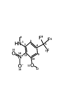 CNc1cc(C(F)(F)F)cc(OC)c1[N+](=O)[O-]